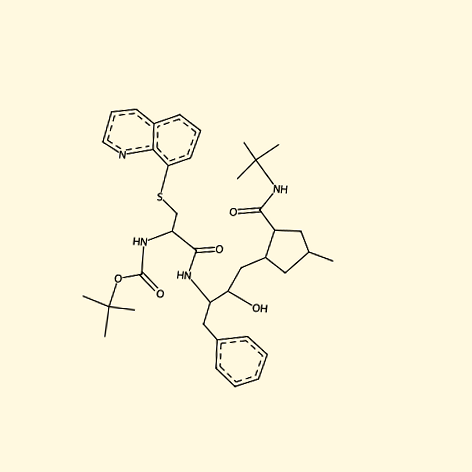 CC1CC(CC(O)C(Cc2ccccc2)NC(=O)C(CSc2cccc3cccnc23)NC(=O)OC(C)(C)C)C(C(=O)NC(C)(C)C)C1